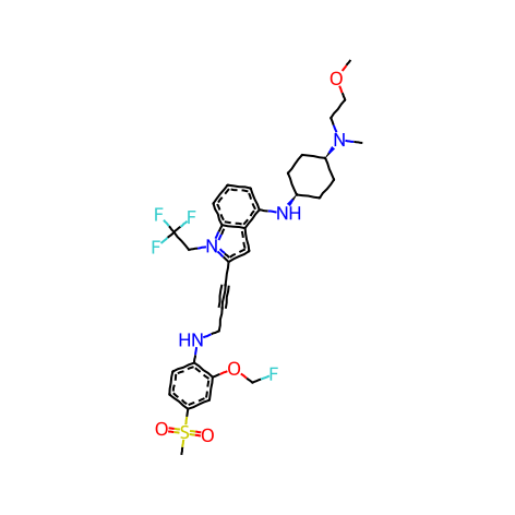 COCCN(C)[C@H]1CC[C@@H](Nc2cccc3c2cc(C#CCNc2ccc(S(C)(=O)=O)cc2OCF)n3CC(F)(F)F)CC1